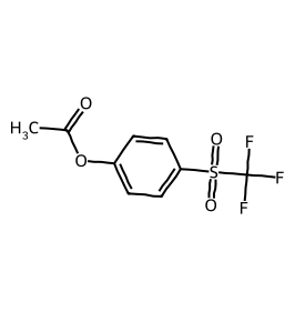 CC(=O)Oc1ccc(S(=O)(=O)C(F)(F)F)cc1